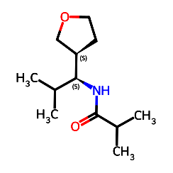 CC(C)C(=O)N[C@@H](C(C)C)[C@@H]1CCOC1